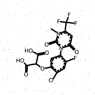 Cn1c(C(F)(F)F)cc(=O)n(-c2cc(OC(C(=O)O)C(=O)O)c(Cl)cc2F)c1=O